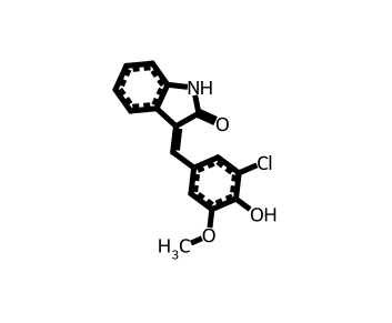 COc1cc(/C=C2\C(=O)Nc3ccccc32)cc(Cl)c1O